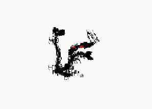 CC(C)[C@H](NC(=O)CCOCCOCCOCCOCCNC(=O)CCC(=O)N1Cc2ccccc2C#Cc2ccccc21)C(=O)N[C@@H](CCCNC(N)=O)C(=O)Nc1ccc(COC(=O)N[C@@H](CCCCNC(=O)OCC2c3ccccc3-c3ccccc32)C(=O)Nc2ccc3c(c2)[C@@]2(C)CCC[C@](C)(C(=O)NC(=O)[C@@]4(C)CCC[C@]5(C)c6cc(O)ccc6CC[C@@H]45)[C@@H]2CC3)cc1